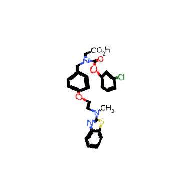 CN(CCOc1ccc(CN(CC(=O)O)C(=O)Oc2cccc(Cl)c2)cc1)c1nc2ccccc2s1